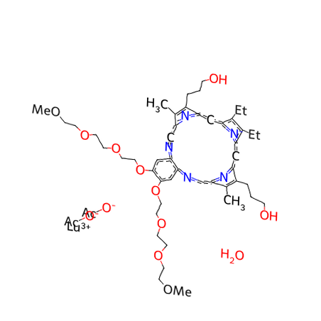 CC(=O)[O-].CC(=O)[O-].CCc1c(CC)c2cc3nc(cnc4cc(OCCOCCOCCOC)c(OCCOCCOCCOC)cc4ncc4nc(cc1[n-]2)C(CCCO)=C4C)C(C)=C3CCCO.O.[Lu+3]